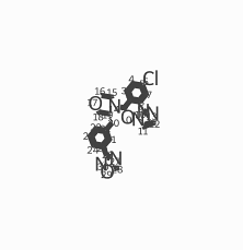 O=C(c1ccc(Cl)cc1-n1nccn1)N1CCOC[C@H]1Cc1cccc(-c2ncon2)c1